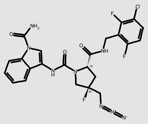 [N-]=[N+]=NC[C@@]1(F)C[C@@H](C(=O)NCc2c(F)ccc(Cl)c2F)N(C(=O)Nc2cn(C(N)=O)c3ccccc23)C1